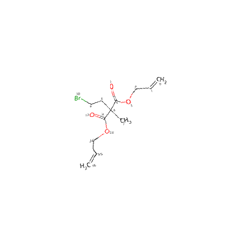 C=CCOC(=O)C(C)(CCBr)C(=O)OCC=C